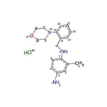 Cc1cc(N)ccc1NCc1ccccc1N1CCOCC1.Cl